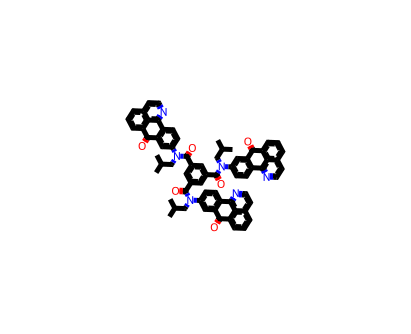 CC(C)CN(C(=O)c1cc(C(=O)N(CC(C)C)c2ccc3c(c2)C(=O)c2cccc4ccnc-3c24)cc(C(=O)N(CC(C)C)c2ccc3c(c2)C(=O)c2cccc4ccnc-3c24)c1)c1ccc2c(c1)C(=O)c1cccc3ccnc-2c13